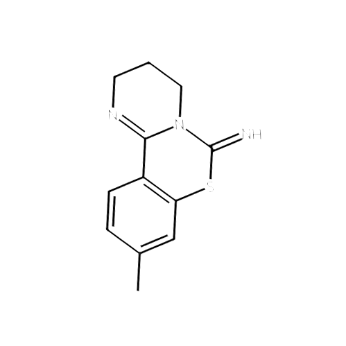 Cc1ccc2c(c1)SC(=N)N1CCCN=C21